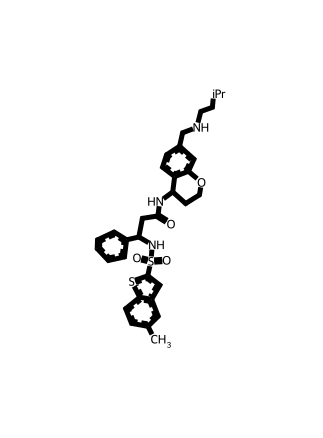 Cc1ccc2sc(S(=O)(=O)NC(CC(=O)NC3CCOc4cc(CNCCC(C)C)ccc43)c3ccccc3)cc2c1